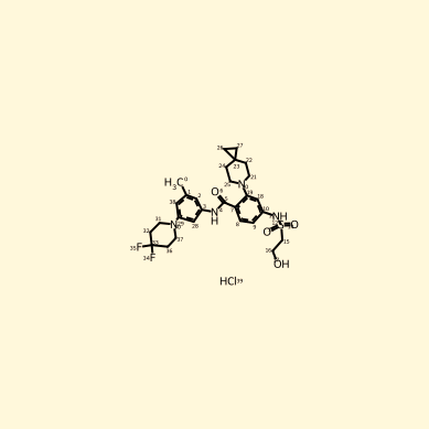 Cc1cc(NC(=O)c2ccc(NS(=O)(=O)CCO)cc2N2CCC3(CC2)CC3)cc(N2CCC(F)(F)CC2)c1.Cl